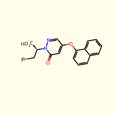 CC(C)C[C@@H](C(=O)O)n1ncc(Oc2cccc3ccccc23)cc1=O